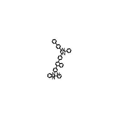 c1ccc(-c2ccc(-c3cc(-c4ccc(-c5ccc(-c6ccc(-n7c(-c8ccccn8)nc8ccccc87)cc6)c6ccccc56)cc4)nc(-c4ccccc4)n3)cc2)cc1